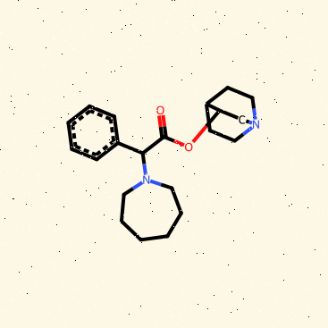 O=C(OC1CN2CCC1CC2)C(c1ccccc1)N1CCCCCC1